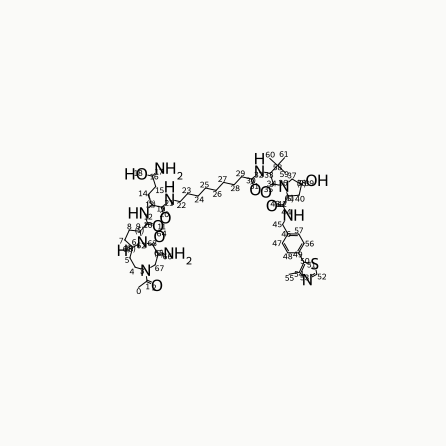 CC(=O)N1CC[C@H]2CC[C@@H](C(=O)N[C@@H](CCC(N)O)C(=O)NCCCCCCCCC(=O)NC(C(=O)N3C[C@H](O)C[C@H]3C(=O)NCc3ccc(-c4scnc4C)cc3)C(C)(C)C)N2C(=O)[C@@H](N)C1